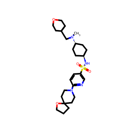 CN(CC1CCOCC1)[C@H]1CC[C@H](NS(=O)(=O)c2ccc(N3CCC4(CCCO4)CC3)nc2)CC1